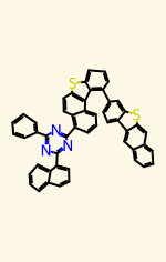 c1ccc(-c2nc(-c3cccc4ccccc34)nc(-c3cccc4c3ccc3sc5cccc(-c6ccc7c(c6)sc6cc8ccccc8cc67)c5c34)n2)cc1